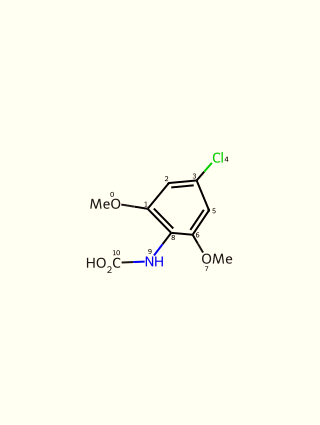 COc1cc(Cl)cc(OC)c1NC(=O)O